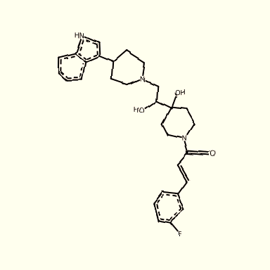 O=C(C=Cc1cccc(F)c1)N1CCC(O)(C(O)CN2CCC(c3c[nH]c4ccccc34)CC2)CC1